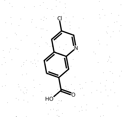 O=C(O)c1ccc2cc(Cl)cnc2c1